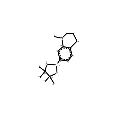 CN1CCCc2ccc(B3OC(C)(C)C(C)(C)O3)cc21